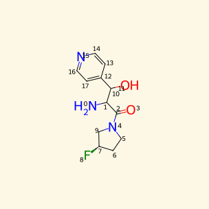 NC(C(=O)N1CC[C@@H](F)C1)C(O)c1ccncc1